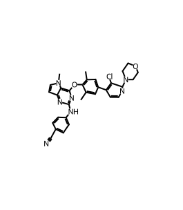 Cc1cc(-c2ccnc(N3CCOCC3)c2Cl)cc(C)c1Oc1nc(Nc2ccc(C#N)cc2)nc2ccn(C)c12